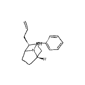 C=CC[C@H]1NC[C@@H]2CCC1N2Cc1ccccc1